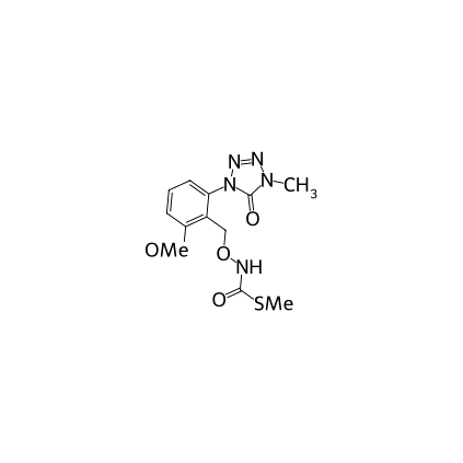 COc1cccc(-n2nnn(C)c2=O)c1CONC(=O)SC